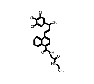 O=C(CNC(=O)c1ccc(/C=C/C(c2cc(Cl)c(Cl)c(Cl)c2)C(F)(F)F)c2ccccc12)NCC(F)(F)F